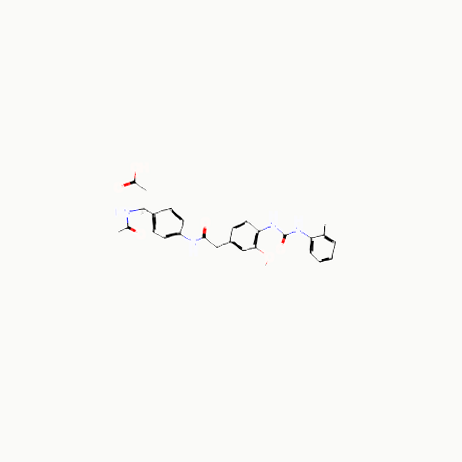 COc1cc(CC(=O)Nc2ccc([C@@H](CC(=O)O)NC(C)=O)cc2)ccc1NC(=O)Nc1ccccc1C